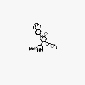 CN/C=C(\C=N)c1cn(-c2ccc(OC(F)(F)F)cc2)c(=O)cc1OCC(F)(F)F